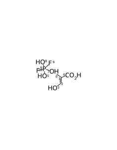 CC(=CO)C(=O)O.OP(O)(O)(F)F